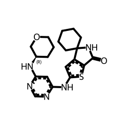 O=C1NC2(CCCCC2)c2cc(Nc3cc(N[C@@H]4CCCOC4)ncn3)sc21